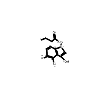 CCCC(=O)O.Oc1c[nH]c2ccc(Br)c(Cl)c12